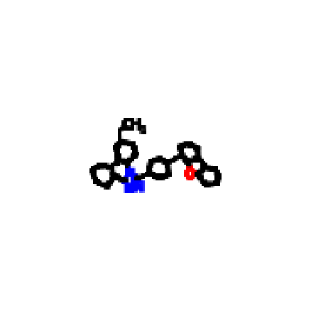 CCc1ccc2c(c1)c1ccccc1c1nnc(-c3ccc(-c4cccc5c4oc4ccccc45)cc3)n21